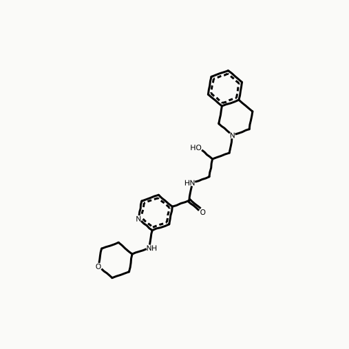 O=C(NCC(O)CN1CCc2ccccc2C1)c1ccnc(NC2CCOCC2)c1